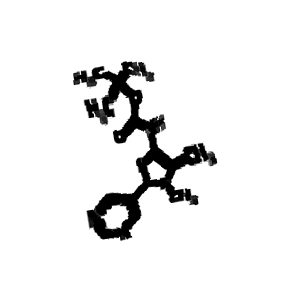 CC1=C(NC(=O)OC(C)(C)C)SC(c2cncnc2)N1C